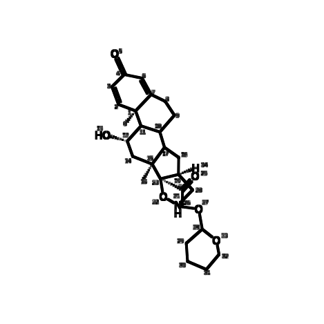 C[C@]12C=CC(=O)C=C1CCC1C2[C@@H](O)C[C@@]2(C)C1C[C@H]1CNO[C@]12C(=O)COC1CCCCO1